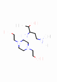 CC(O)C(N)CCN(C)C.OCCN1CCN(CCO)CC1